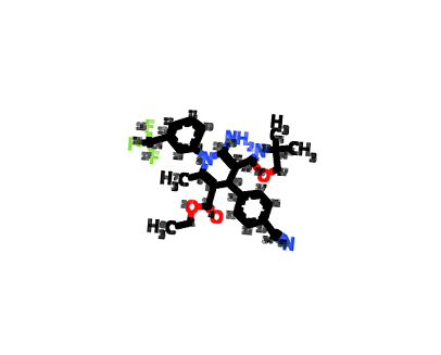 CCOC(=O)C1=C(C)N(c2cccc(C(F)(F)F)c2)C(N)=C(C2=NC(C)(C)CO2)C1c1ccc(C#N)cc1